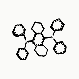 c1ccc(N(c2ccccc2)c2c3c(c(N(c4ccccc4)c4ccccc4)c4c2CCCC4)CCCC3)cc1